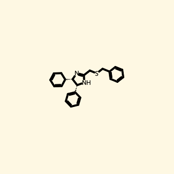 C1=CCC([C@@H]2N=C(CSCc3ccccc3)N[C@@H]2c2ccccc2)C=C1